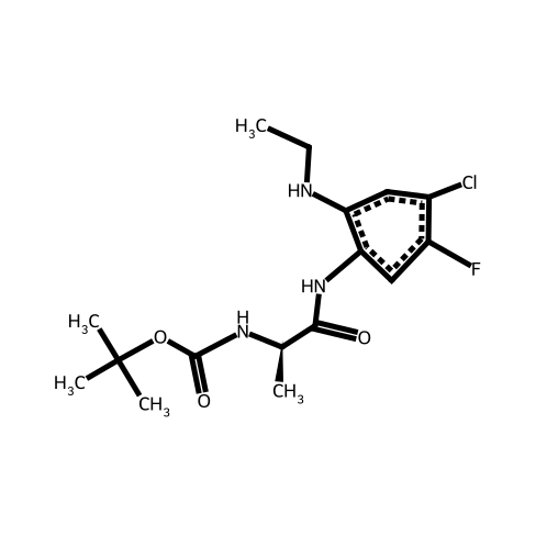 CCNc1cc(Cl)c(F)cc1NC(=O)[C@@H](C)NC(=O)OC(C)(C)C